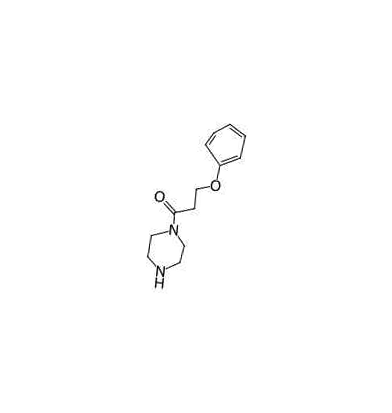 O=C(CCOc1ccccc1)N1CCNCC1